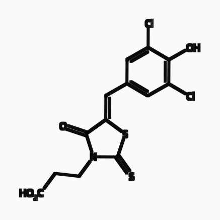 O=C(O)CCN1C(=O)/C(=C/c2cc(Cl)c(O)c(Cl)c2)SC1=S